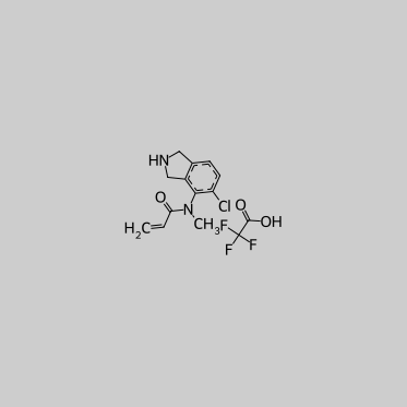 C=CC(=O)N(C)c1c(Cl)ccc2c1CNC2.O=C(O)C(F)(F)F